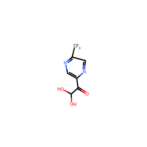 O=C(c1cnc(C(F)(F)F)cn1)C(O)O